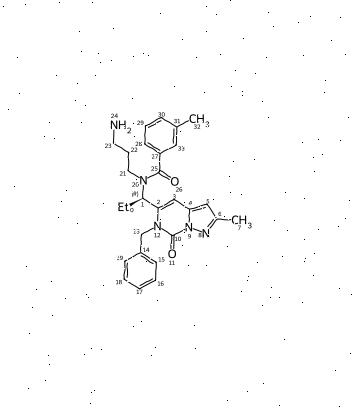 CC[C@H](c1cc2cc(C)nn2c(=O)n1Cc1ccccc1)N(CCCN)C(=O)c1cccc(C)c1